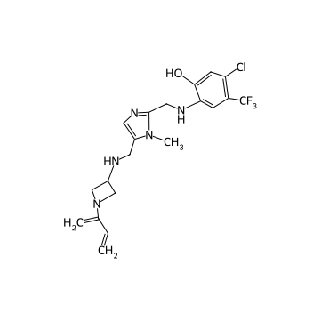 C=CC(=C)N1CC(NCc2cnc(CNc3cc(C(F)(F)F)c(Cl)cc3O)n2C)C1